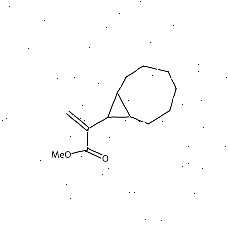 C=C(C(=O)OC)C1C2CCCCCCC21